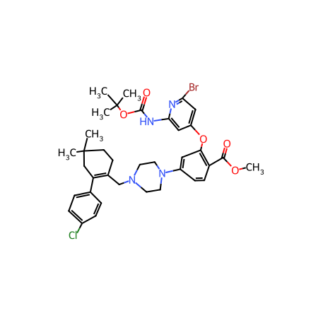 COC(=O)c1ccc(N2CCN(CC3=C(c4ccc(Cl)cc4)CC(C)(C)CC3)CC2)cc1Oc1cc(Br)nc(NC(=O)OC(C)(C)C)c1